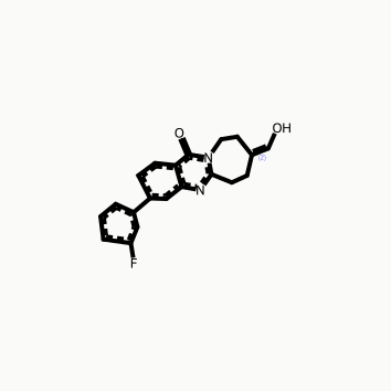 O=c1c2ccc(-c3cccc(F)c3)cc2nc2n1CC/C(=C\O)CC2